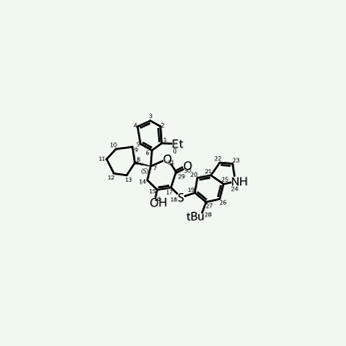 CCc1ccccc1[C@@]1(C2CCCCC2)CC(O)=C(Sc2cc3cc[nH]c3cc2C(C)(C)C)C(=O)O1